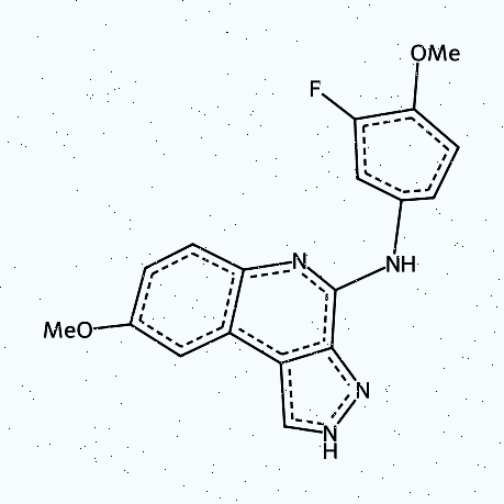 COc1ccc2nc(Nc3ccc(OC)c(F)c3)c3n[nH]cc3c2c1